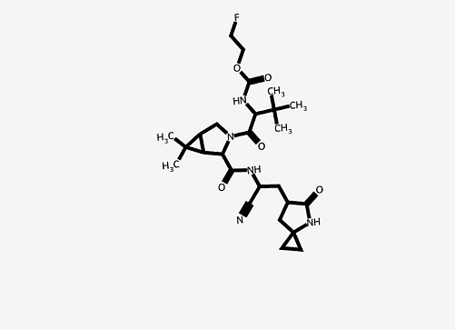 CC(C)(C)C(NC(=O)OCCF)C(=O)N1CC2C(C1C(=O)NC(C#N)CC1CC3(CC3)NC1=O)C2(C)C